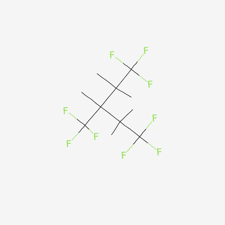 CC(C)(C(F)(F)F)C(C)(C(F)(F)F)C(C)(C)C(F)(F)F